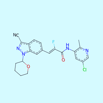 Cc1ncc(Cl)cc1NC(=O)/C(F)=C/c1ccc2c(C#N)nn(C3CCCCO3)c2c1